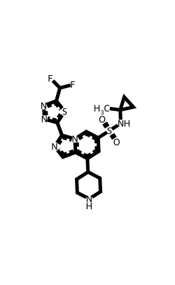 CC1(NS(=O)(=O)c2cc(C3CCNCC3)c3cnc(-c4nnc(C(F)F)s4)n3c2)CC1